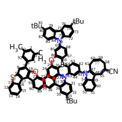 Cc1cc(C)cc(-c2cc3sc4ccccc4c3c3c2oc2c(-c4cc5c6c(c4)N(c4ccc(C(C)(C)C)cc4-c4ccccc4)c4cc(-n7c8c(c9ccccc97)/C=C(/C#N)C/C=C\C8)ccc4B6c4ccc(-n6c7ccc(C(C)(C)C)cc7c7cc(C(C)(C)C)ccc76)cc4O5)cccc23)c1